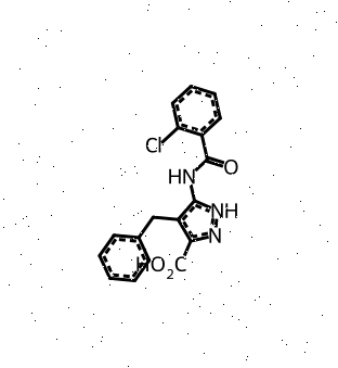 O=C(Nc1[nH]nc(C(=O)O)c1Cc1ccccc1)c1ccccc1Cl